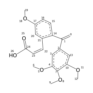 C=C(c1cc(OC)c(OC)c(OC)c1)c1ccc(OC)cc1C=CC(=O)O